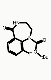 CC(C)(C)OC(=O)N1CCNC(=O)c2cccc(F)c21